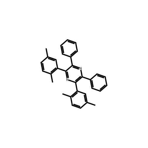 Cc1ccc(C)c(-c2nc(-c3cc(C)ccc3C)c(-c3ccccc3)nc2-c2ccccc2)c1